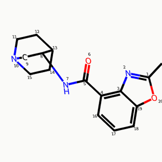 Cc1nc2c(C(=O)NC3CN4CCC3CC4)cccc2o1